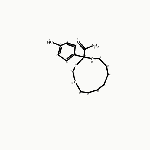 NC(=O)C1(c2ccc(O)cc2)CCCCCCCCCCC1